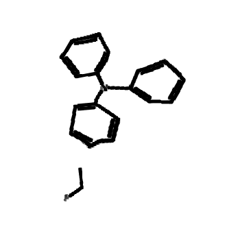 CCF.c1ccc(N(c2ccccc2)c2ccccc2)cc1